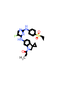 C=CC(=O)N1CC2(CC2)c2ccc(Nc3nc(Nc4ccc(S(=O)(=O)C5CC5)cc4)ncc3F)cc21